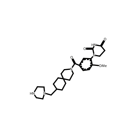 COc1ccc(C(=O)N2CCC3(CCC(CN4CCNCC4)CC3)CC2)cc1N1CCC(=O)NC1=O